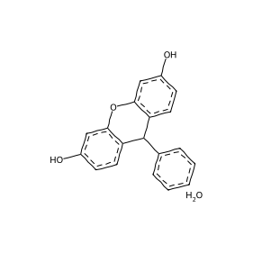 O.Oc1ccc2c(c1)Oc1cc(O)ccc1C2c1ccccc1